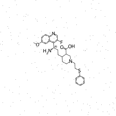 COc1ccc2ncc(F)c([C@H](N)CCC3CCN(CCSc4ccccc4)CC3C(=O)O)c2c1